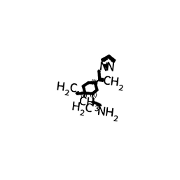 C=C[C@]1(C)CC[C@@H](C(=C)Cn2cccn2)C[C@H]1C(=C)CN